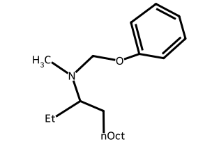 CCCCCCCCCC(CC)N(C)COc1ccccc1